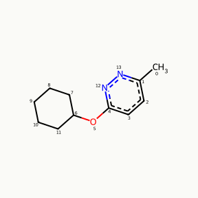 Cc1ccc(OC2CCCCC2)nn1